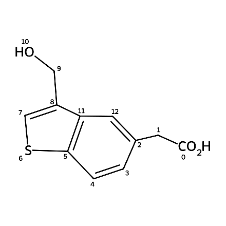 O=C(O)Cc1ccc2scc(CO)c2c1